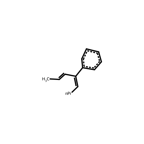 CC=CC(=CCCC)c1ccccc1